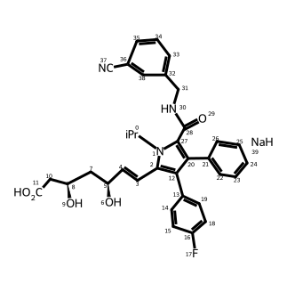 CC(C)n1c(C=C[C@@H](O)C[C@@H](O)CC(=O)O)c(-c2ccc(F)cc2)c(-c2ccccc2)c1C(=O)NCc1cccc(C#N)c1.[NaH]